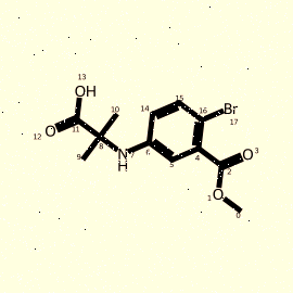 COC(=O)c1cc(NC(C)(C)C(=O)O)ccc1Br